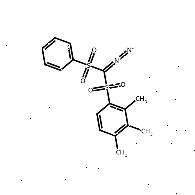 Cc1ccc(S(=O)(=O)C(=[N+]=[N-])S(=O)(=O)c2ccccc2)c(C)c1C